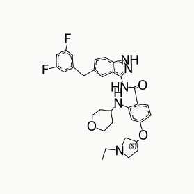 CCN1CC[C@H](Oc2ccc(C(=O)Nc3n[nH]c4ccc(Cc5cc(F)cc(F)c5)cc34)c(NC3CCOCC3)c2)C1